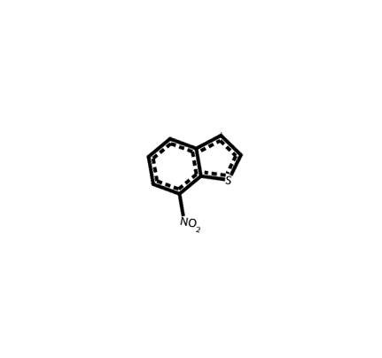 O=[N+]([O-])c1cccc2[c]csc12